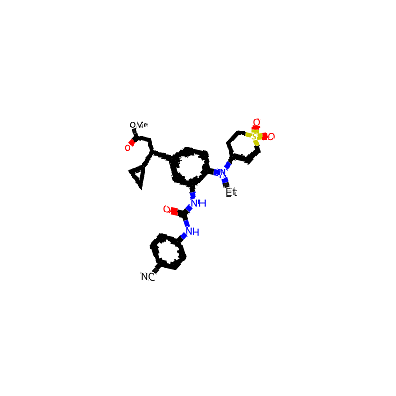 CCN(c1ccc(C(CC(=O)OC)C2CC2)cc1NC(=O)Nc1ccc(C#N)cc1)C1CCS(=O)(=O)CC1